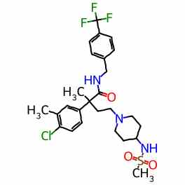 Cc1cc(C(C)(CCN2CCC(NS(C)(=O)=O)CC2)C(=O)NCc2ccc(C(F)(F)F)cc2)ccc1Cl